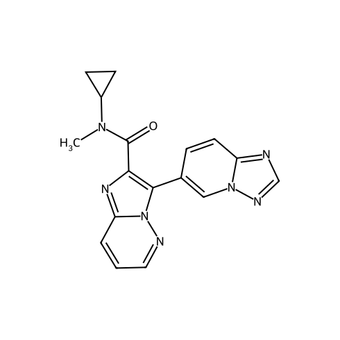 CN(C(=O)c1nc2cccnn2c1-c1ccc2ncnn2c1)C1CC1